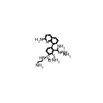 NCCN[S+]([O-])c1ccc(-c2cccc3ccc(N)nc23)c(/C(N)=N/NN)c1SN